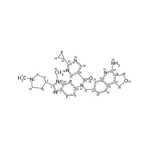 CN1CCC(c2nc3ccc(N(Cc4ccc5c6c(c(N)nc5c4)COC6)C(=O)c4cnc(C5CC5)nc4)cc3n2C)CC1